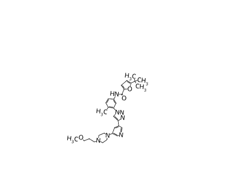 COCCCN1CCN(c2cncc(-c3cn(-c4cc(NC(=O)c5ccc(C(C)(C)C)o5)ccc4C)nn3)c2)CC1